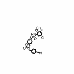 COc1ccc(Cl)cc1NC(=O)ON1CCC2(CC1)CN(Cc1ccc(C#N)cc1)C(=O)O2